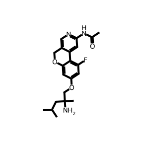 CC(=O)Nc1cc2c(cn1)COc1cc(OCC(C)(N)CC(C)C)cc(F)c1-2